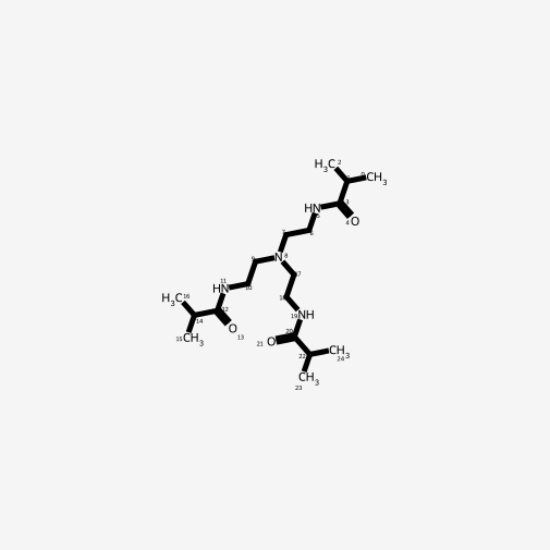 CC(C)C(=O)NCCN(CCNC(=O)C(C)C)CCNC(=O)C(C)C